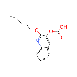 CCCCCOc1nc2ccccc2cc1OC(=O)O